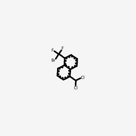 FC(F)(Br)c1cccc2c(C(Cl)Cl)cccc12